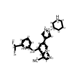 N#Cc1cnn2cc(-c3cnn([C@H]4CCCNC4)c3)cc(Sc3cccc(C(F)F)n3)c12